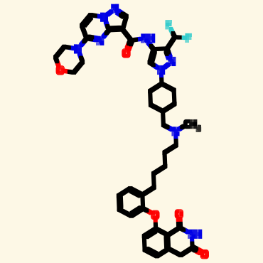 CN(CCCCCc1ccccc1Oc1cccc2c1C(=O)NC(=O)C2)CC1CCC(n2cc(NC(=O)c3cnn4ccc(N5CCOCC5)nc34)c(C(F)F)n2)CC1